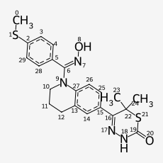 CSc1ccc(C(=NO)N2CCCc3cc(C4=NNC(=O)SC4(C)C)ccc32)cc1